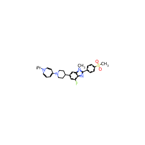 CC(C)N1C=CC=C(N2CCC(c3cc(F)c4nc(-c5ccc(S(C)(=O)=O)cc5)n(C)c4c3)CC2)C=C1